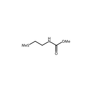 COC(=O)NCCSC